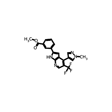 COC(=O)c1cccc(-c2cc3c(-c4cnn(C)c4)c(C(F)(F)F)cnc3[nH]2)c1